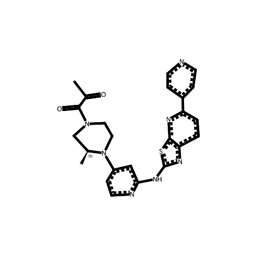 CC(=O)C(=O)N1CCN(c2ccnc(Nc3nc4ccc(-c5ccncc5)nc4s3)c2)[C@@H](C)C1